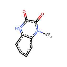 O=c1[nH]c2ccccc2n(C(F)(F)F)c1=O